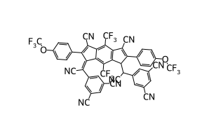 N#CC1=C(c2ccc(OC(F)(F)F)cc2)/C(=C(\C#N)c2cc(C#N)cc(C#N)c2)c2c1c(C(F)(F)F)c1c(c2C(F)(F)F)C(C(C#N)c2cc(C#N)cc(C#N)c2)C(c2ccc(OC(F)(F)F)cc2)=C1C#N